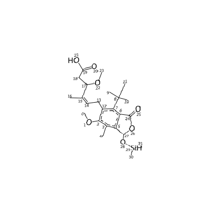 COc1c(C)c2c(c(C(C)(C)C)c1CC=C(C)C(CC(=O)O)OC)C(=O)OC2O[SiH](C)C